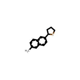 Cc1ccc2cc(C3CCCS3)ccc2c1